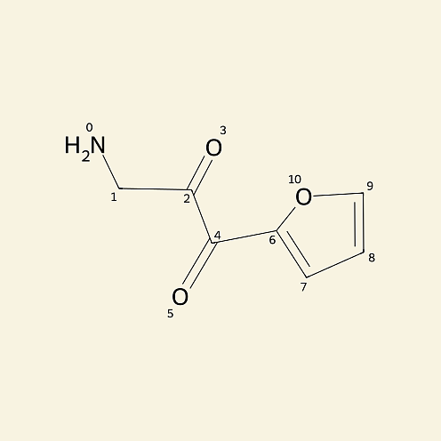 NCC(=O)C(=O)c1ccco1